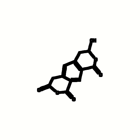 O=C1Cc2cc3c(cc2C(=O)O1)C(=O)OC(O)C3